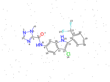 Cn1ncnc1C(=O)Nc1ccc2c(Cl)c(-c3ccccc3C(F)F)[nH]c2c1